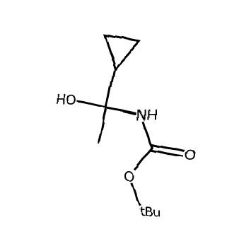 CC(C)(C)OC(=O)NC(C)(O)C1CC1